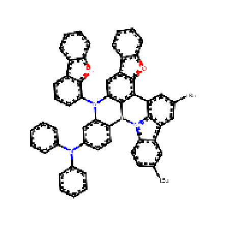 CC(C)(C)c1ccc2c(c1)c1cc(C(C)(C)C)cc3c1n2B1c2ccc(N(c4ccccc4)c4ccccc4)cc2N(c2cccc4c2oc2ccccc24)c2cc4c(oc5ccccc54)c-3c21